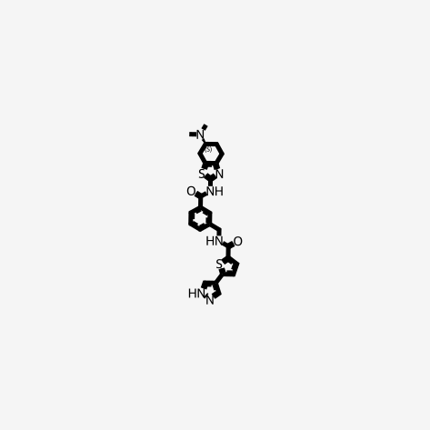 CN(C)[C@H]1CCc2nc(NC(=O)c3cccc(CNC(=O)c4ccc(-c5cn[nH]c5)s4)c3)sc2C1